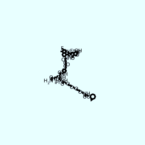 CC[C@@]1(O)C(=O)OCc2c1cc1n(c2=O)Cc2c-1nc1cc(F)c(C)c3c1c2[C@@H](NC(=O)COC(=O)OCc1ccc(NC(=O)[C@H](CCCNC(N)=O)NC(=O)[C@@H](NC(=O)CCOCCOCCOCCOCCNC(=O)COC2CCCCCC4=CC42)C(C)C)cc1)CC3